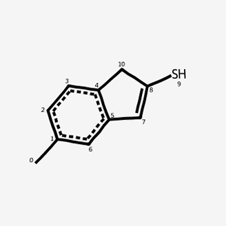 Cc1ccc2c(c1)C=C(S)C2